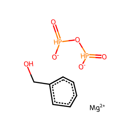 O=[PH]([O-])O[PH](=O)[O-].OCc1ccccc1.[Mg+2]